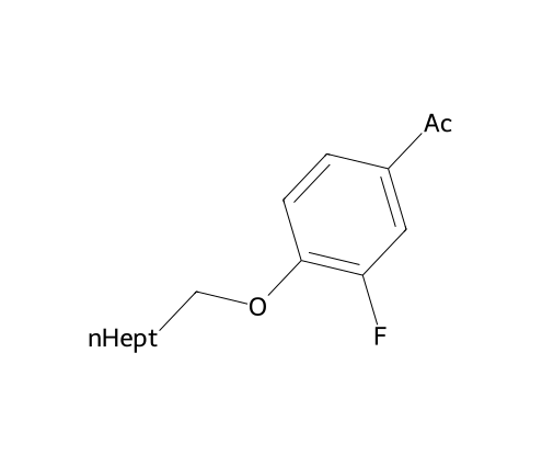 CCCCCCCCOc1ccc(C(C)=O)cc1F